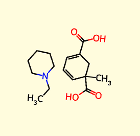 CC1(C(=O)O)C=CC=C(C(=O)O)C1.CCN1CCCCC1